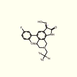 [3H]C([3H])([3H])CN1CCc2c(-c3cc(F)ccc3OC)cc3c(c2C1)NC(=O)/C3=N/O